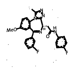 COc1ccc2c(c1)C(c1cccc(F)c1)=N[C@@H](CC(=O)Nc1ccc(F)cc1)c1nnc(C)n1-2